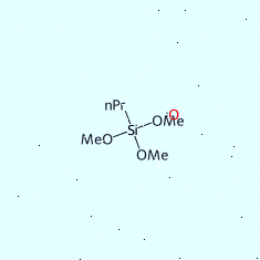 CCC[Si](OC)(OC)OC.[O]